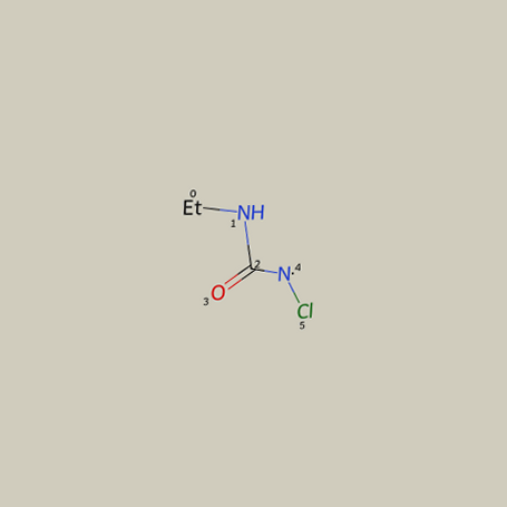 CCNC(=O)[N]Cl